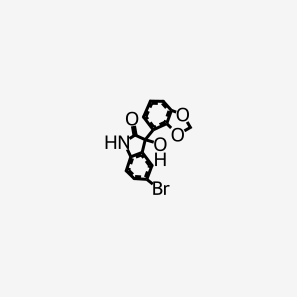 O=C1Nc2ccc(Br)cc2C1(O)c1cccc2c1OCO2